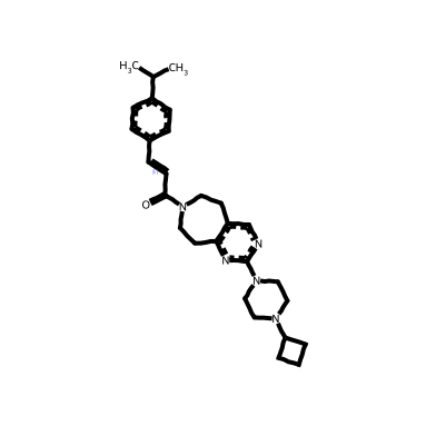 CC(C)c1ccc(/C=C/C(=O)N2CCc3cnc(N4CCN(C5CCC5)CC4)nc3CC2)cc1